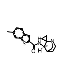 Cc1ccc2cc(C(=O)N[C@@H]3C4CCN(CC4)C34CC4)sc2c1